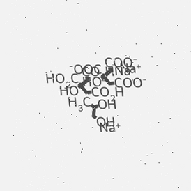 CC(O)CO.O=C(O)CC(O)(CC(=O)O)C(=O)O.O=C([O-])CC(O)(CC(=O)[O-])C(=O)[O-].[Na+].[Na+].[Na+]